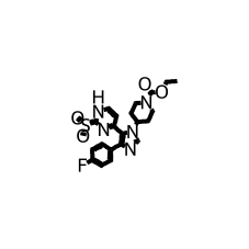 CCOC(=O)N1CCC(n2cnc(-c3ccc(F)cc3)c2-c2cc[nH]c(=S(=O)=O)n2)CC1